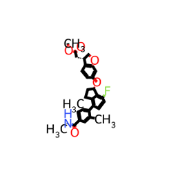 CNC(=O)c1cc(C)c(-c2ccc(F)c3c2CC[C@H]3Oc2ccc3c(c2)OC[C@H]3CC(=O)OC)c(C)c1